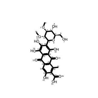 CO[C@H]1[C@H](O)[C@@H](CO)OC(c2c(O)c(O)c3c(c2O)C(=O)c2c(cc(O)c(C(=O)O)c2C)C3=O)[C@@H]1OC